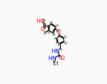 CCNC(=O)NCc1ccc(Oc2ccc3c(c2)COB3O)cc1